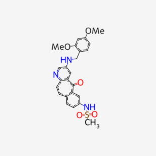 COc1ccc(CNc2cnc3ccc4ccc(NS(C)(=O)=O)cc4c(=O)c3c2)c(OC)c1